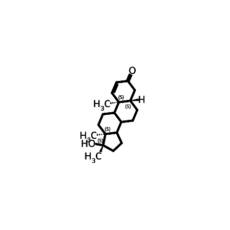 C[C@]1(O)CCC2C3CC[C@H]4CC(=O)C=C[C@]4(C)C3CC[C@@]21C